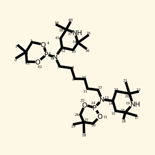 CC1(C)COP(N(CCCCCCN(C2CC(C)(C)NC(C)(C)C2)P2OCC(C)(C)CO2)C2CC(C)(C)NC(C)(C)C2)OC1